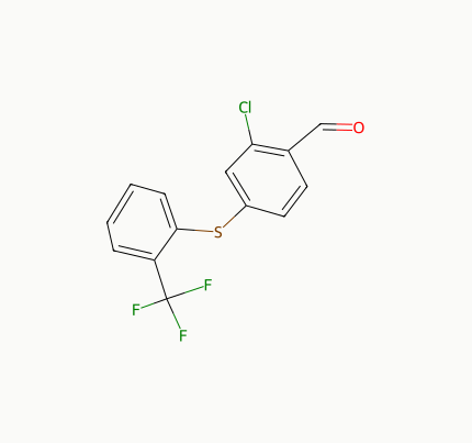 O=Cc1ccc(Sc2ccccc2C(F)(F)F)cc1Cl